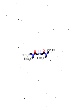 CCOC(=O)CN(CC(=O)OCC)C(=O)CNCC(=O)N(CC(=O)OCC)CC(=O)OCC